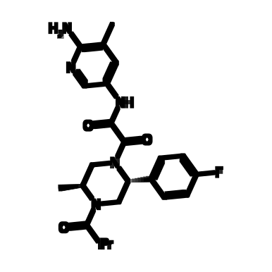 Cc1cc(NC(=O)C(=O)N2C[C@H](C)N(C(=O)C(C)C)C[C@H]2c2ccc(F)cc2)cnc1N